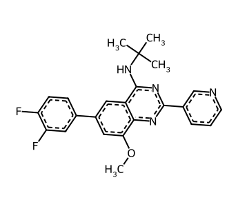 COc1cc(-c2ccc(F)c(F)c2)cc2c(NC(C)(C)C)nc(-c3cccnc3)nc12